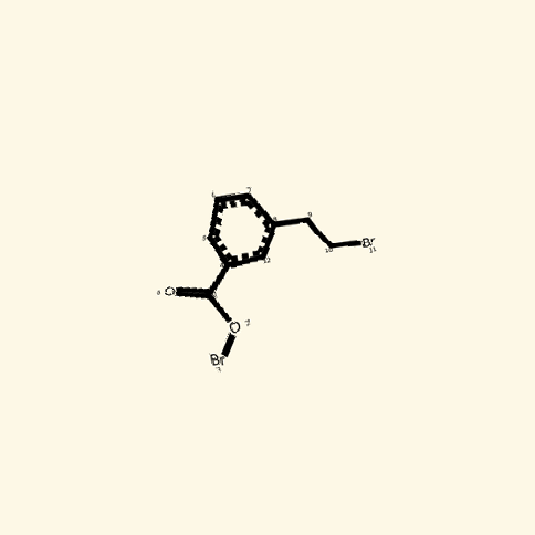 O=C(OBr)c1cccc(CCBr)c1